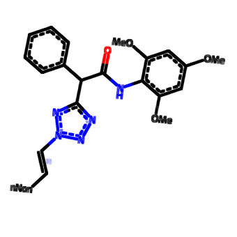 CCCCCCCCC/C=C/n1nnc(C(C(=O)Nc2c(OC)cc(OC)cc2OC)c2ccccc2)n1